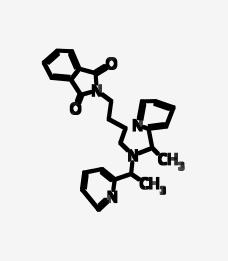 CC(c1ccccn1)N(CCCCN1C(=O)c2ccccc2C1=O)C(C)c1ccccn1